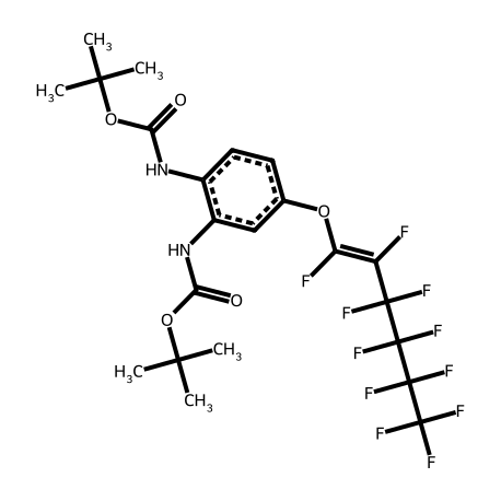 CC(C)(C)OC(=O)Nc1ccc(OC(F)=C(F)C(F)(F)C(F)(F)C(F)(F)C(F)(F)F)cc1NC(=O)OC(C)(C)C